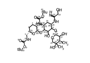 CC1CC[C@@H](CNC(=O)OC(C)(C)C)O[C@@H]1OC1C(O)C(O[C@H]2OCC(C)(O)[C@H](C)C2O)[C@H](NC(=N)CO)C[C@@H]1NC(=O)OC(C)(C)C